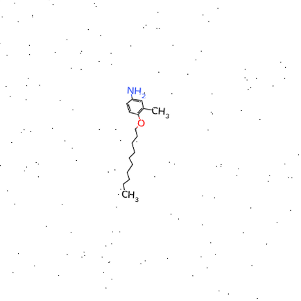 CCCCCCCCCCOc1ccc(N)cc1C